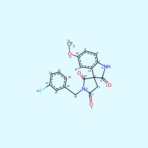 O=C1CC2(C(=O)Nc3ccc(OC(F)(F)F)cc32)C(=O)N1Cc1cccc(F)c1